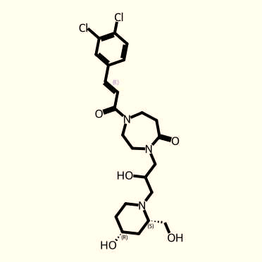 O=C(/C=C/c1ccc(Cl)c(Cl)c1)N1CCC(=O)N(CC(O)CN2CC[C@@H](O)C[C@H]2CO)CC1